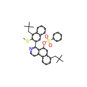 CSc1c(-c2nccc3c2c(OS(=O)(=O)c2ccccc2)cc2c(CC(C)(C)C)cccc23)cc2ccccc2c1CC(C)(C)C